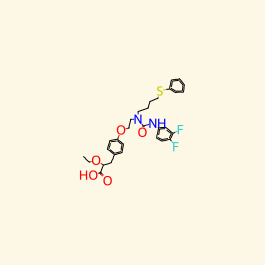 CCOC(Cc1ccc(OCCN(CCCCSc2ccccc2)C(=O)Nc2ccc(F)c(F)c2)cc1)C(=O)O